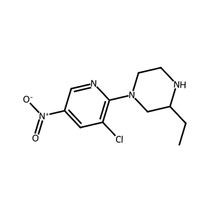 CCC1CN(c2ncc([N+](=O)[O-])cc2Cl)CCN1